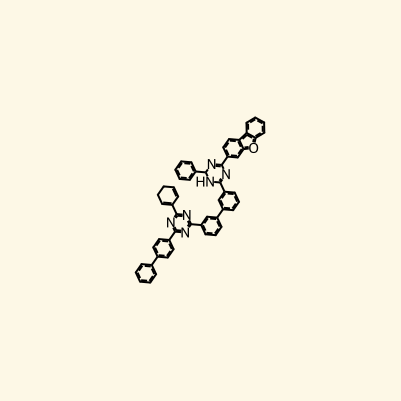 C1=CC(c2nc(-c3ccc(-c4ccccc4)cc3)nc(-c3cccc(-c4cccc(C5=NC(c6ccc7c(c6)oc6ccccc67)=NC(c6ccccc6)N5)c4)c3)n2)=CCC1